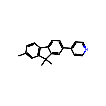 Cc1ccc2c(c1)C(C)(C)c1cc(-c3ccncc3)ccc1-2